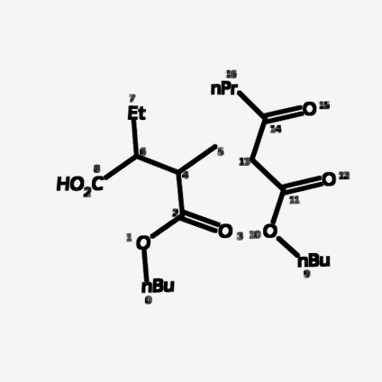 CCCCOC(=O)C(C)C(CC)C(=O)O.CCCCOC(=O)CC(=O)CCC